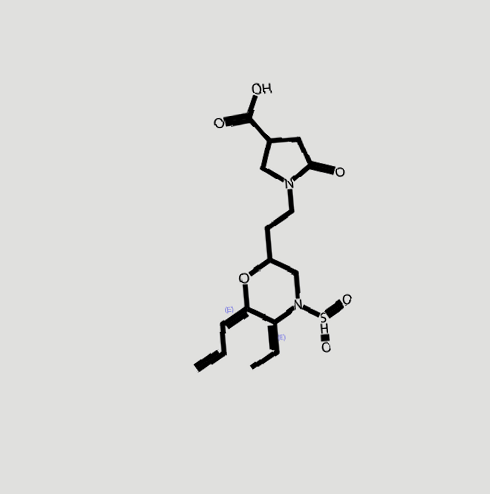 C=C/C=C1/OC(CCN2CC(C(=O)O)CC2=O)CN([SH](=O)=O)/C1=C/C